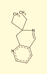 CCC1(CC)Cc2ncccc2C=N1